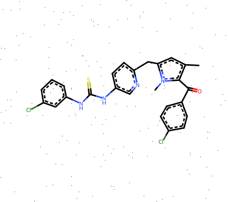 Cc1cc(Cc2ccc(NC(=S)Nc3cccc(Cl)c3)cn2)n(C)c1C(=O)c1ccc(Cl)cc1